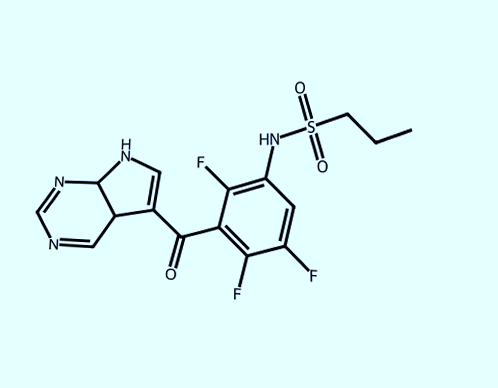 CCCS(=O)(=O)Nc1cc(F)c(F)c(C(=O)C2=CNC3N=CN=CC23)c1F